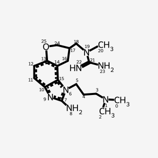 CN(C)CCCn1c(N)nc2ccc3c(c21)CC(CN(C)C(=N)N)CO3